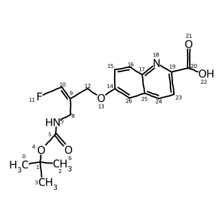 CC(C)(C)OC(=O)NC/C(=C\F)COc1ccc2nc(C(=O)O)ccc2c1